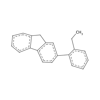 CCc1ccccc1-c1ccc2c(c1)Cc1ccccc1-2